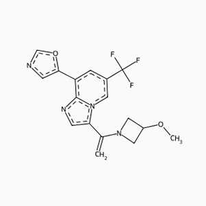 C=C(c1cnc2c(-c3cnco3)cc(C(F)(F)F)cn12)N1CC(OC)C1